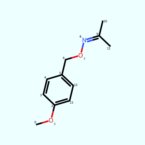 COc1ccc(CON=C(C)C)cc1